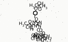 CC(C)C(=O)Nc1nc(OCc2ccc(OC(=O)C(C)(C)C)cc2)c2ncn([C@H]3C[C@H](O[Si](C)(C)C(C)(C)C)[C@@H](CO[P@@](=O)(Cl)N(C)C)O3)c2n1